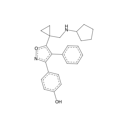 Oc1ccc(-c2noc(C3(CNC4CCCC4)CC3)c2-c2ccccc2)cc1